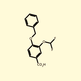 O=C(O)c1ccc(OCc2ccccc2)c(OC(F)F)c1